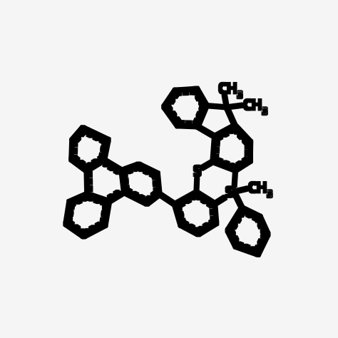 CC1(C)c2ccccc2-c2c1ccc1c2Sc2c(-c3ccc4c5ccccc5c5ccccc5c4c3)cccc2[Si]1(C)c1ccccc1